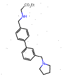 CCOC(=O)CNCc1ccc(-c2cccc(CN3CCCC3)c2)cc1